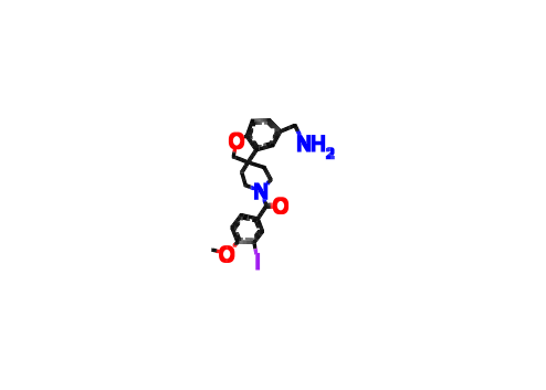 COc1ccc(C(=O)N2CCC3(CC2)COc2ccc(CN)cc23)cc1I